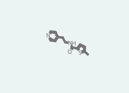 Cc1ccc(C(=O)NCCc2ccncc2)s1